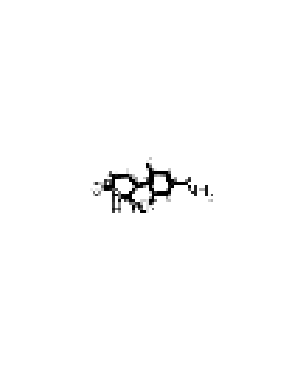 Cc1cc(CN)cc(Cl)c1C1CCC(=O)NC1=O